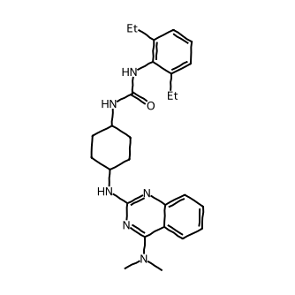 CCc1cccc(CC)c1NC(=O)NC1CCC(Nc2nc(N(C)C)c3ccccc3n2)CC1